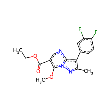 CCOC(=O)c1cnc2c(-c3ccc(F)c(F)c3)c(C)nn2c1OC